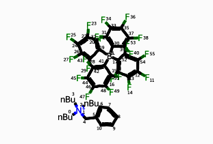 CCCC[N+](CCCC)(CCCC)Cc1ccccc1.Fc1c(F)c(F)c([B-](c2c(F)c(F)c(F)c(F)c2F)(c2c(F)c(F)c(F)c(F)c2F)c2c(F)c(F)c(F)c(F)c2F)c(F)c1F